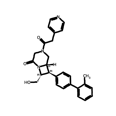 Cc1ccccc1-c1ccc([C@@H]2[C@H]3CN(C(=O)Cc4ccncc4)CC(=O)N3[C@H]2CO)cc1